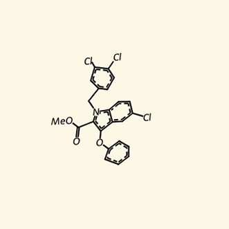 COC(=O)c1c(Oc2ccccc2)c2cc(Cl)ccc2n1Cc1ccc(Cl)c(Cl)c1